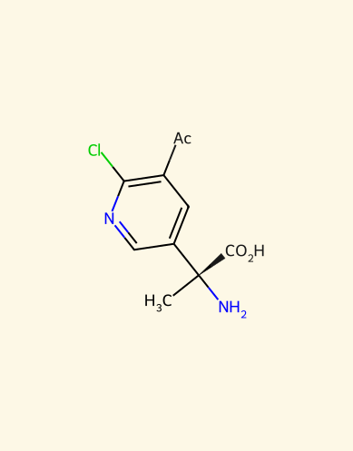 CC(=O)c1cc([C@@](C)(N)C(=O)O)cnc1Cl